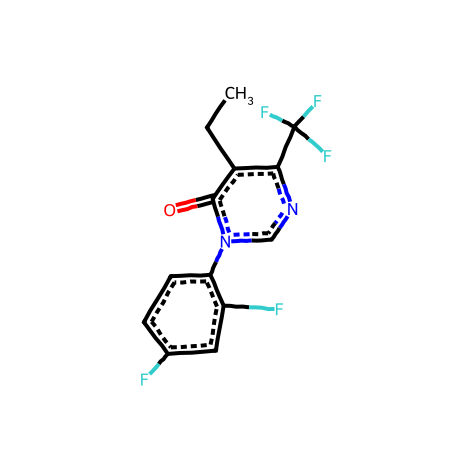 CCc1c(C(F)(F)F)ncn(-c2ccc(F)cc2F)c1=O